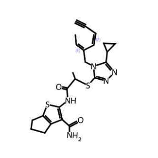 C#C/C=C\C(=C/C)Cn1c(SC(C)C(=O)Nc2sc3c(c2C(N)=O)CCC3)nnc1C1CC1